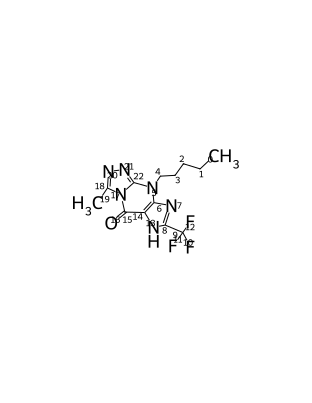 CCCCCn1c2nc(C(F)(F)F)[nH]c2c(=O)n2c(C)nnc12